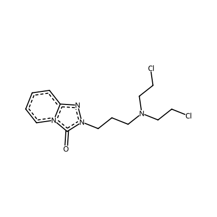 O=c1n(CCCN(CCCl)CCCl)nc2ccccn12